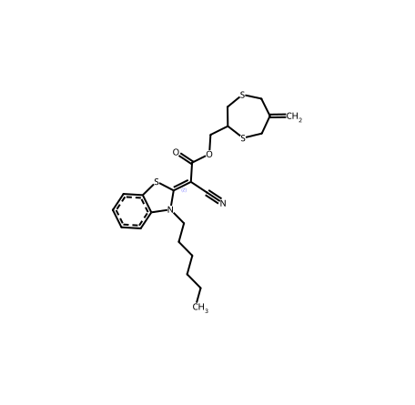 C=C1CSCC(COC(=O)/C(C#N)=C2\Sc3ccccc3N2CCCCCC)SC1